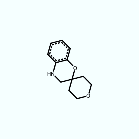 c1ccc2c(c1)NCC1(CCOCC1)O2